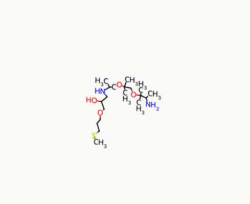 CSCCCOCC(O)CNC(C)COC(C)(C)COC(C)(C)C(C)N